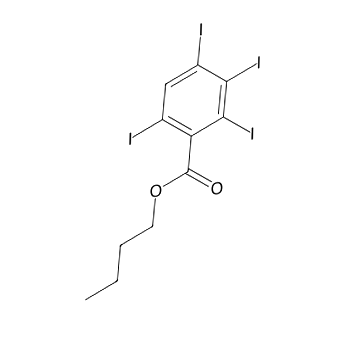 CCCCOC(=O)c1c(I)cc(I)c(I)c1I